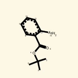 CC(C)(C)OC(=O)c1ccccc1[AsH2]